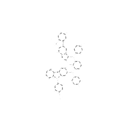 CC(C)(C)c1ccc(N2c3cc4c(cc3B3c5sc6cc7c(cc6c5N(c5ccc(C(C)(C)C)cc5)c5cccc2c53)-c2ccccc2C7(C)C)c2ccccc2n4-c2ccc(C(C)(C)C)cc2)cc1